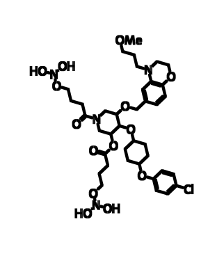 COCCCN1CCOc2ccc(COC3CN(C(=O)CCCON(O)O)CC(OC(=O)CCCON(O)O)C3OC3CCC(Oc4ccc(Cl)cc4)CC3)cc21